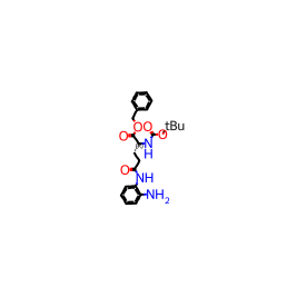 CC(C)(C)OC(=O)N[C@H](CCC(=O)Nc1ccccc1N)C(=O)OCc1ccccc1